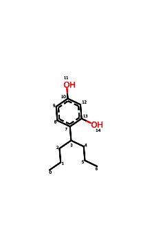 CCCC(CCC)c1ccc(O)cc1O